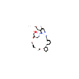 COC(=O)[C@@H](OC(C)(C)C)c1c(C)cc2nc3cn2c1N1CCC(C)(CC1)OC/C=C/C[C@H](C)Oc1cc(F)ccc1-c1cccc-3c1